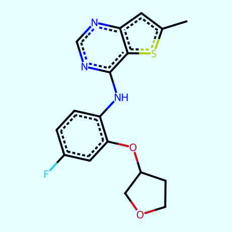 Cc1cc2ncnc(Nc3ccc(F)cc3OC3CCOC3)c2s1